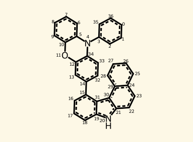 c1ccc(N2c3ccccc3Oc3cc(-c4cccc5[nH]c6ccc7ccccc7c6c45)ccc32)cc1